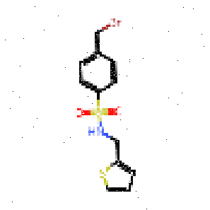 O=S(=O)(NCc1cccs1)c1ccc(CBr)cc1